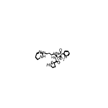 O=C(NC(CCCCNC1N=CCCN1)(NS(=O)(=O)c1ccccc1)C(=O)O)C1CCNO1